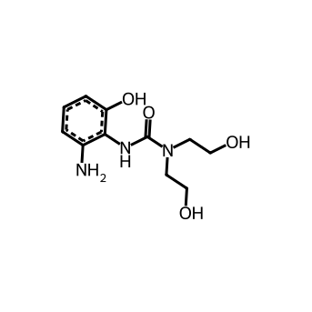 Nc1cccc(O)c1NC(=O)N(CCO)CCO